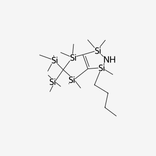 CCCC[Si]1(C)N[Si](C)(C)C2=C1[Si](C)(C)C([Si](C)(C)C)([Si](C)(C)C)[Si]2(C)C